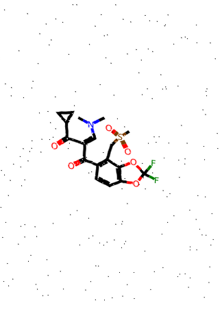 CN(C)C=C(C(=O)c1ccc2c(c1CS(C)(=O)=O)OC(F)(F)O2)C(=O)C1CC1